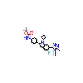 Cc1nnc(-c2cc3c(cc2F)cc(-c2ccc(NC(=O)OC(C)(C)C)cc2)n3C2CCC2)[nH]1